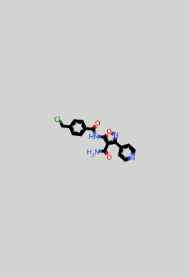 NC(=O)c1c(-c2ccncc2)noc1NC(=O)c1ccc(CCl)cc1